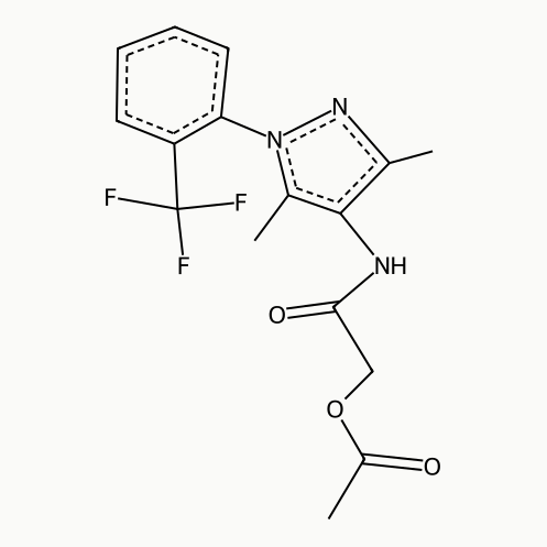 CC(=O)OCC(=O)Nc1c(C)nn(-c2ccccc2C(F)(F)F)c1C